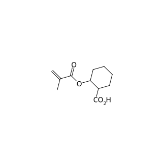 C=C(C)C(=O)OC1CCCCC1C(=O)O